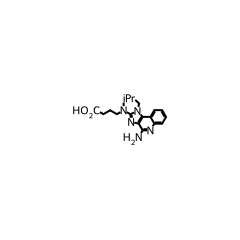 CC(C)Cn1c(N(C)CCCC(=O)O)nc2c(N)nc3ccccc3c21